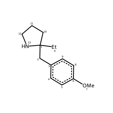 CCC1(Cc2ccc(OC)cc2)CCCN1